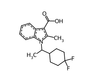 Cc1c(C(=O)O)c2ccccc2n1C(C)C1CCC(F)(F)CC1